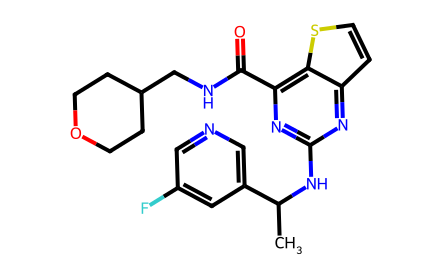 CC(Nc1nc(C(=O)NCC2CCOCC2)c2sccc2n1)c1cncc(F)c1